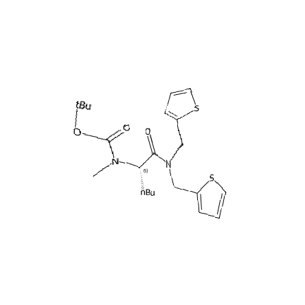 [CH2]CCC[C@@H](C(=O)N(Cc1cccs1)Cc1cccs1)N(C)C(=O)OC(C)(C)C